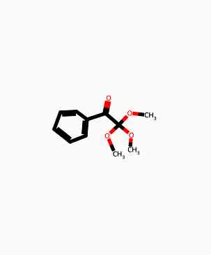 COC(OC)(OC)C(=O)c1ccccc1